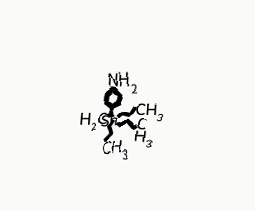 C=[C](c1ccc(N)cc1)[Sn]([CH2]CCC)([CH2]CCC)[CH2]CCC